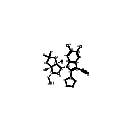 CC1(C)O[C@@H]2[C@H](O1)[C@@H](CO)O[C@H]2n1c(N2CCCC2)c(C#N)c2cc(Cl)c(Cl)cc21